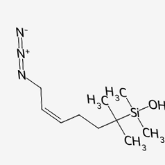 CC(C)(CC/C=C\CN=[N+]=[N-])[Si](C)(C)O